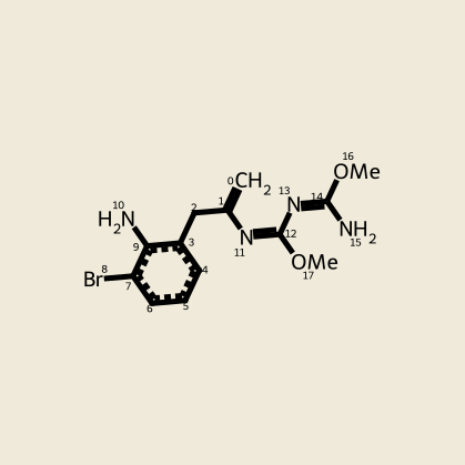 C=C(Cc1cccc(Br)c1N)/N=C(\N=C(/N)OC)OC